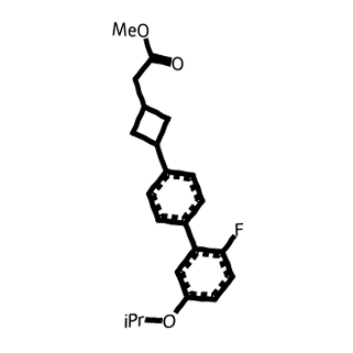 COC(=O)CC1CC(c2ccc(-c3cc(OC(C)C)ccc3F)cc2)C1